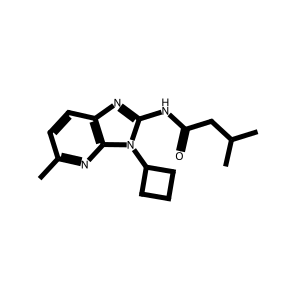 Cc1ccc2nc(NC(=O)CC(C)C)n(C3CCC3)c2n1